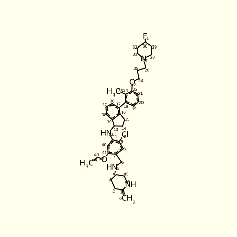 C=C1CC[C@H](NCc2cc(Cl)c(NC3CCc4c(-c5cccc(OCCCN6CCC(F)CC6)c5C)cccc43)cc2OCC)CN1